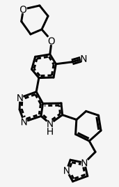 N#Cc1cc(-c2ncnc3[nH]c(C4C=C(Cn5ccnc5)C=CC4)cc23)ccc1OC1CCOCC1